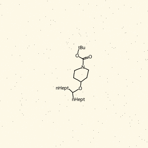 CCCCCCCC(CCCCCCC)OC1CCN(C(=O)OC(C)(C)C)CC1